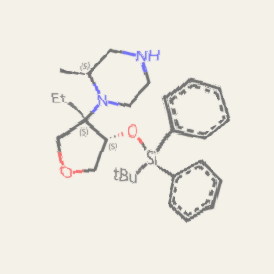 CC[C@]1(N2CCNC[C@@H]2C)COC[C@H]1O[Si](c1ccccc1)(c1ccccc1)C(C)(C)C